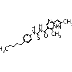 CCCCCc1ccc(NC(=S)NC(=O)c2cnc3cc(C)nn3c2C)cc1